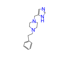 c1ccc(CCN2CCN(Cc3cnc[nH]3)CC2)cc1